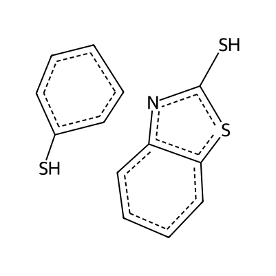 Sc1ccccc1.Sc1nc2ccccc2s1